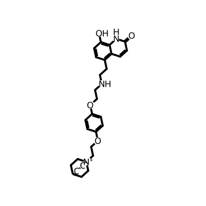 O=c1ccc2c(CCNCCOc3ccc(OCC[N+]45CCC(CC4)CC5)cc3)ccc(O)c2[nH]1